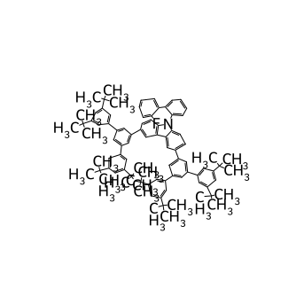 CC(C)(C)c1cc(-c2cc(-c3cc(C(C)(C)C)cc(C(C)(C)C)c3)cc(-c3ccc4c(c3)c3cc(-c5cc(-c6cc(C(C)(C)C)cc(C(C)(C)C)c6)cc(-c6cc(C(C)(C)C)cc(C(C)(C)C)c6)c5)ccc3n4-c3ccccc3-c3ccccc3F)c2)cc(C(C)(C)C)c1